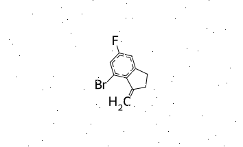 C=C1CCc2cc(F)cc(Br)c21